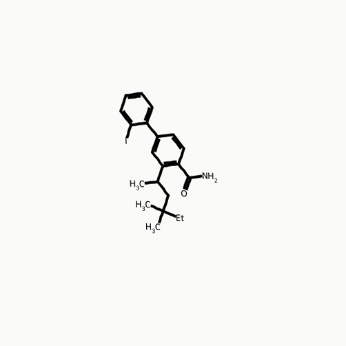 CCC(C)(C)CC(C)c1cc(-c2ccccc2I)ccc1C(N)=O